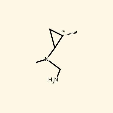 C[C@H]1CC1N(C)CN